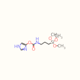 CO[Si](CCCNC(=O)Oc1c[nH]cn1)(OC)OC